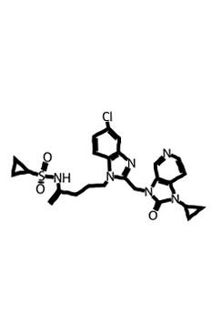 C=C(CCCn1c(Cn2c(=O)n(C3CC3)c3ccncc32)nc2cc(Cl)ccc21)NS(=O)(=O)C1CC1